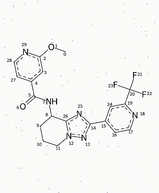 COc1cc(C(=O)NC2CCCn3nc(-c4ccnc(C(F)(F)F)c4)nc32)ccn1